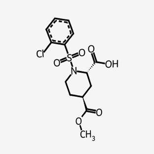 COC(=O)[C@H]1CCN(S(=O)(=O)c2ccccc2Cl)[C@H](C(=O)O)C1